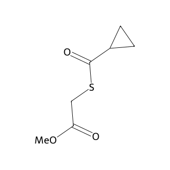 COC(=O)CSC(=O)C1CC1